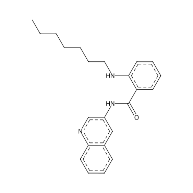 CCCCCCCNc1ccccc1C(=O)Nc1cnc2ccccc2c1